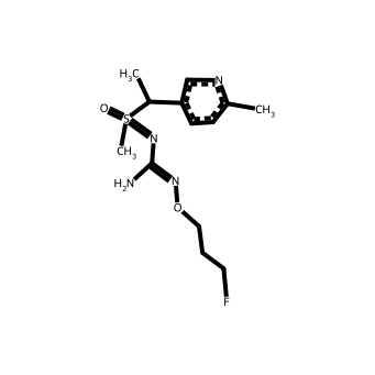 Cc1ccc(C(C)S(C)(=O)=N/C(N)=N/OCCCF)cn1